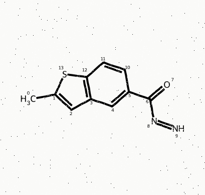 Cc1cc2cc(C(=O)N=N)ccc2s1